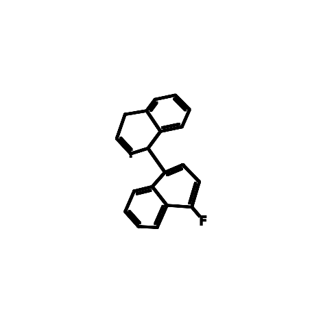 Fc1ccc(C2[C]=CCc3ccccc32)c2ccccc12